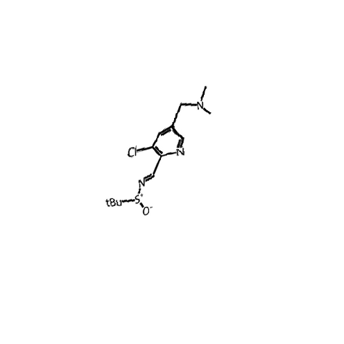 CN(C)Cc1cnc(C=N[S+]([O-])C(C)(C)C)c(Cl)c1